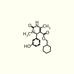 CC1=C(C(=O)OCC2CCCCC2)C(c2cccc(O)c2)N(C)C(=O)N1